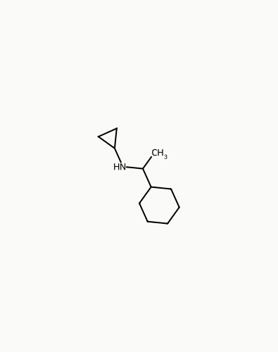 CC(NC1CC1)C1CCCCC1